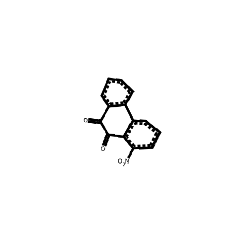 O=C1C(=O)c2c(cccc2[N+](=O)[O-])-c2ccccc21